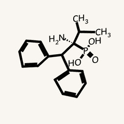 CC(C)[C@](N)(C(c1ccccc1)c1ccccc1)P(=O)(O)O